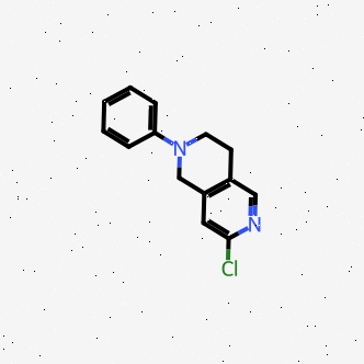 Clc1cc2c(cn1)CCN(c1ccccc1)C2